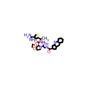 C[C@@H](NC(=O)[C@H]1N(C(=O)CNC(=O)c2ccc3cc4ccccc4nc3c2)CCC12OCCO2)c1cc(C(=N)N)cs1